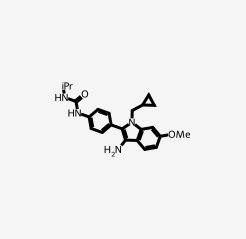 COc1ccc2c(N)c(-c3ccc(NC(=O)NC(C)C)cc3)n(CC3CC3)c2c1